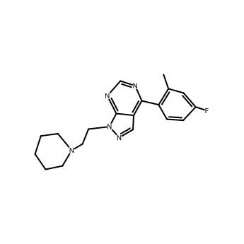 Cc1cc(F)ccc1-c1ncnc2c1cnn2CCN1CCCCC1